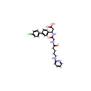 O=C(O)CC(NC(=O)CNC(=O)CCCCNc1ccccn1)c1ccc(-c2ccc(Cl)cc2)cc1